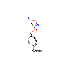 COc1ccc(COc2cc(I)on2)cc1